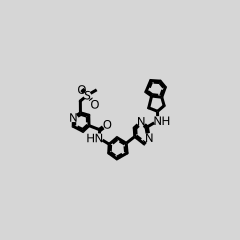 CS(=O)(=O)Cc1cc(C(=O)Nc2cccc(-c3cnc(NC4Cc5ccccc5C4)nc3)c2)ccn1